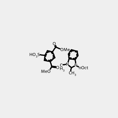 CCCCCCCCN1c2ccccc2N(C)C1C.COC(=O)c1cc(C(=O)OC)cc(S(=O)(=O)O)c1